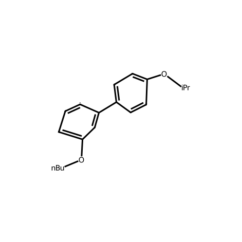 CCCCOc1cc[c]c(-c2ccc(OC(C)C)cc2)c1